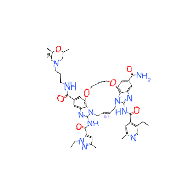 CCc1cnc(C)cc1C(=O)Nc1nc2cc(C(N)=O)cc3c2n1C/C=C/Cn1c(NC(=O)c2cc(C)nn2CC)nc2cc(C(=O)NCCCN4CC(C)O[C@H](C)C4)cc(c21)OCCCO3